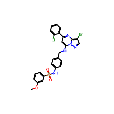 COc1cccc(S(=O)(=O)Nc2ccc(CNc3cc(-c4ccccc4Cl)nc4c(Br)cnn34)cc2)c1